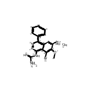 COc1c(Br)cc2c(-c3ccccc3)nnc(NC(=N)N)c2c1Br.Cl.Cl